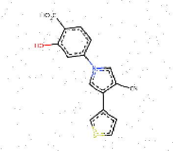 N#Cc1cn(-c2ccc(C(=O)O)c(O)c2)cc1-c1ccsc1